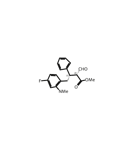 CNc1cc(F)ccc1C[C@H](c1ccccc1)[C@H](C=O)C(=O)OC